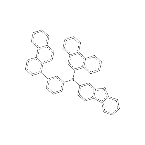 c1cc(-c2cccc3c2ccc2ccccc23)cc(N(c2ccc3c(c2)sc2ccccc23)c2cc3ccccc3c3ccccc23)c1